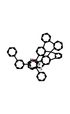 c1ccc(-c2cccc(-c3nc(-c4ccccc4)nc(-c4ccc5c(c4)C4(c6ccccc6-c6ccccc6-5)c5ccccc5-c5cc6sc7ccccc7c6cc54)n3)c2)cc1